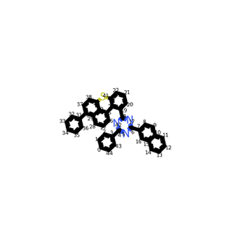 c1ccc(-c2nc(-c3ccc4ccccc4c3)nc(-c3cccc4c3-c3cccc5c(-c6ccccc6)ccc(c35)S4)n2)cc1